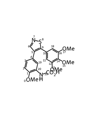 COc1ccc(-c2cnsc2-c2cc(OC)c(OC)c(OC)c2)cc1NC(=O)O